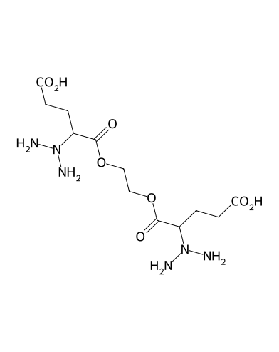 NN(N)C(CCC(=O)O)C(=O)OCCOC(=O)C(CCC(=O)O)N(N)N